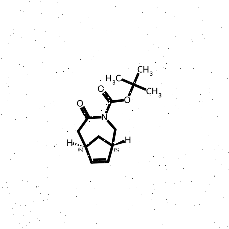 CC(C)(C)OC(=O)N1C[C@@H]2C=C[C@@H](CC1=O)C2